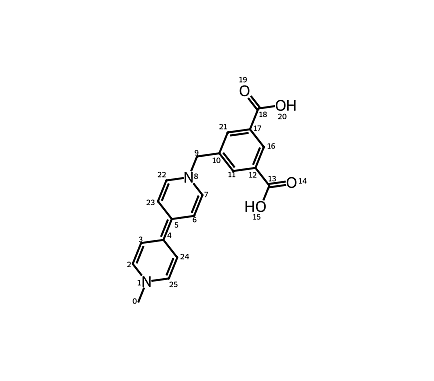 CN1C=CC(=C2C=CN(Cc3cc(C(=O)O)cc(C(=O)O)c3)C=C2)C=C1